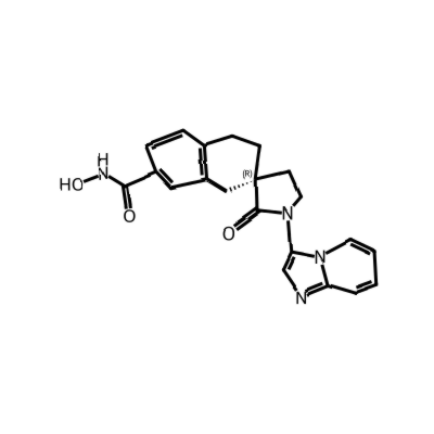 O=C(NO)c1ccc2c(c1)C[C@]1(CC2)CCN(c2cnc3ccccn23)C1=O